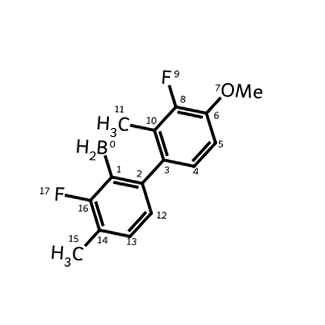 Bc1c(-c2ccc(OC)c(F)c2C)ccc(C)c1F